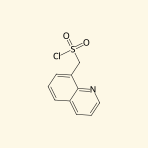 O=S(=O)(Cl)Cc1cccc2cccnc12